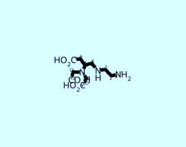 NCCNCC(CC(=O)O)N(CC(=O)O)CC(=O)O